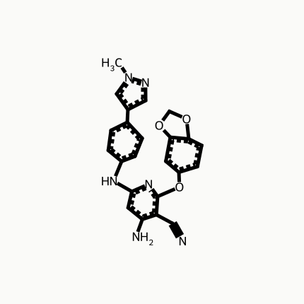 Cn1cc(-c2ccc(Nc3cc(N)c(C#N)c(Oc4ccc5c(c4)OCO5)n3)cc2)cn1